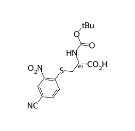 CC(C)(C)OC(=O)N[C@@H](CSc1ccc(C#N)cc1[N+](=O)[O-])C(=O)O